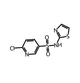 O=S(=O)(Nc1nccs1)c1ccc(Cl)nc1